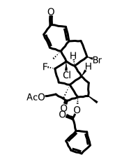 CC(=O)OCC(=O)[C@]1(OC(=O)c2ccccc2)[C@H](C)C[C@H]2[C@@H]3[C@H](Br)CC4=CC(=O)C=C[C@]4(C)[C@@]3(Cl)[C@@H](F)C[C@@]21C